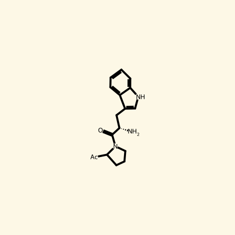 CC(=O)C1CCCN1C(=O)[C@@H](N)Cc1c[nH]c2ccccc12